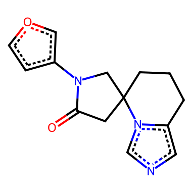 O=C1CC2(CCCc3cncn32)CN1c1ccoc1